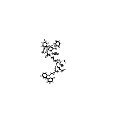 CC(NC(=O)C(NC(=O)OCC1c2ccccc2-c2ccccc21)C(C)C)C(=O)NCCCN(C(=O)CO)C(c1cc(-c2cc(F)ccc2F)cn1Cc1ccccc1)C(C)(C)C